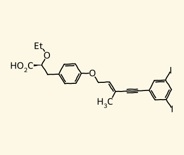 CCO[C@@H](Cc1ccc(OC/C=C(\C)C#Cc2cc(I)cc(I)c2)cc1)C(=O)O